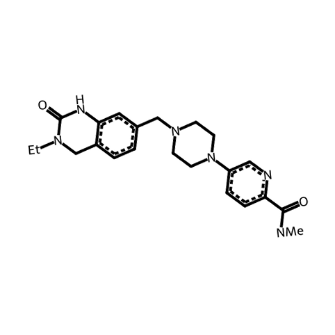 CCN1Cc2ccc(CN3CCN(c4ccc(C(=O)NC)nc4)CC3)cc2NC1=O